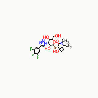 CN(CC(F)(F)F)C(=O)[C@H](S[C@@H]1O[C@H](CO)[C@H](O)[C@H](n2cc(-c3cc(F)c(F)c(F)c3)nn2)[C@H]1O)C1(O)CCC1